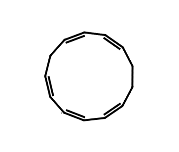 [C]1=CC=CCCC=CC=CCC=C1